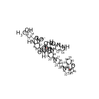 CC1(O)CCC(CNc2ccc(S(=O)(=O)NC(=O)c3ccc(N4CCC5(CC4)CC(N4CCCC[C@H]4c4ccccc4OC4CCC4)C5)cc3N3c4cc5cc[nH]c5nc4O[C@H]4COCC[C@@H]43)cc2[N+](=O)[O-])CC1